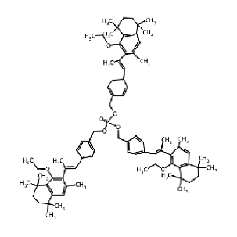 CCOc1c(/C(C)=C/c2ccc(COP(=O)(OCc3ccc(/C=C(\C)c4c(C)cc5c(c4OCC)C(C)(C)CCC5(C)C)cc3)OCc3ccc(/C=C(\C)c4c(C)cc5c(c4OCC)C(C)(C)CCC5(C)C)cc3)cc2)c(C)cc2c1C(C)(C)CCC2(C)C